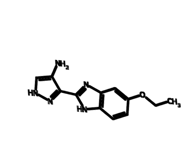 CCOc1ccc2[nH]c(-c3n[nH]cc3N)nc2c1